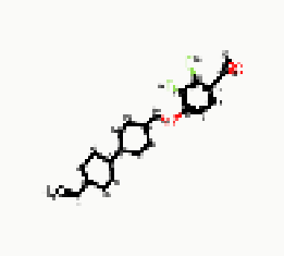 C=CC1CCC(C2CCC(COc3ccc(C4CO4)c(F)c3F)CC2)CC1